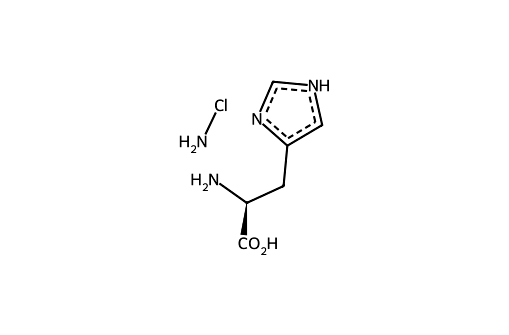 NCl.N[C@@H](Cc1c[nH]cn1)C(=O)O